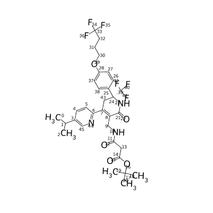 CC(C)c1ccc(C2=C(CNC(=O)CC(=O)OC(C)(C)C)C(=O)N[C@@](c3ccc(OCCCC(F)(F)F)cc3)(C(F)(F)F)C2)nc1